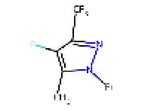 CCn1nc(C(F)(F)F)c(F)c1C